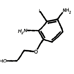 Nc1ccc(OCCO)c(N)c1I